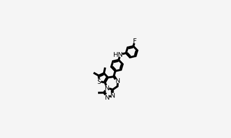 Cc1sc2c(c1C)C(c1ccc(Nc3cccc(F)c3)cc1)=NCc1nnc(C)n1-2